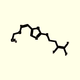 CCO/N=C\c1cnc(SCCC(F)=C(F)F)o1